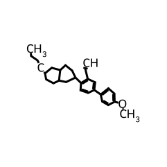 C#Cc1cc(-c2ccc(OC)cc2)ccc1C1CCC2CC(CCCC)CCC2C1